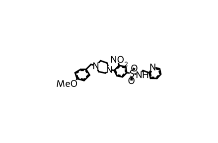 COc1ccc(CN2CCN(c3ccc(S(=O)(=O)NCc4ccccn4)cc3[N+](=O)[O-])CC2)cc1